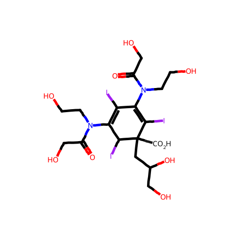 O=C(CO)N(CCO)C1=C(I)C(CC(O)CO)(C(=O)O)C(I)C(N(CCO)C(=O)CO)=C1I